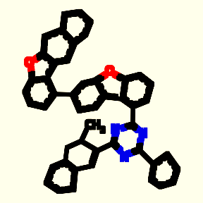 CC1Cc2ccccc2C=C1c1nc(-c2ccccc2)nc(-c2cccc3oc4cc(-c5cccc6oc7cc8ccccc8cc7c56)ccc4c23)n1